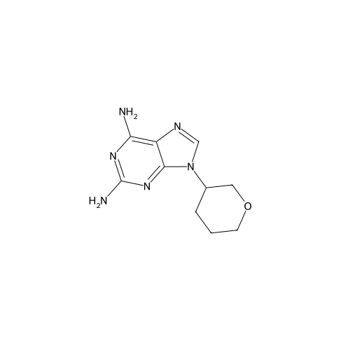 Nc1nc(N)c2ncn(C3CCCOC3)c2n1